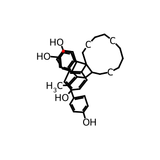 C/C(=C(/CC1CCCCCCCCCCC1(c1ccc(O)cc1)c1ccc(O)cc1)c1ccc(O)cc1)c1ccc(O)cc1